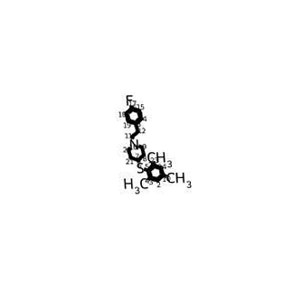 Cc1cc(C)c(SC2CCN(CCc3ccc(F)cc3)CC2)c(C)c1